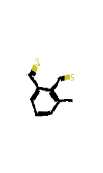 Cc1cccc([C]=S)c1[C]=S